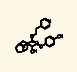 N#Cc1ccc(OCC(O)CN2C3CCC2CN(C(=O)OCCc2ccncc2)C3)cc1